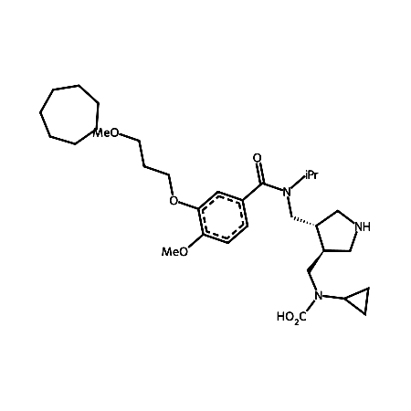 C1CCCCCC1.COCCCOc1cc(C(=O)N(C[C@@H]2CNC[C@H]2CN(C(=O)O)C2CC2)C(C)C)ccc1OC